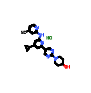 Cl.N#Cc1ccnc(Nc2cc(C3CC3)cc(-c3cnc(N4CCC(O)CC4)nc3)n2)c1